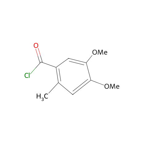 COc1cc(C)c(C(=O)Cl)cc1OC